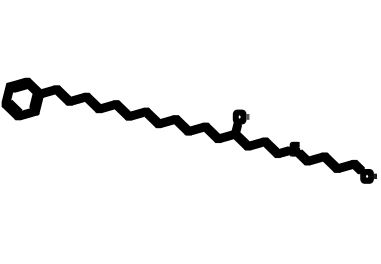 [O]CCCCSCCCC([O])CCCCCCCCCCCCc1ccccc1